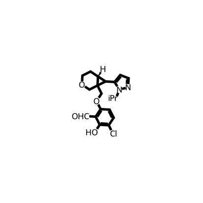 CC(C)n1nccc1C1[C@H]2CCOCC12COc1ccc(Cl)c(O)c1C=O